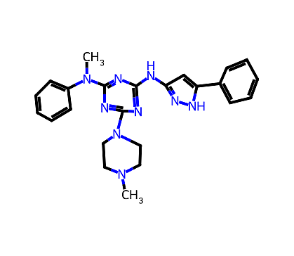 CN1CCN(c2nc(Nc3cc(-c4ccccc4)[nH]n3)nc(N(C)c3ccccc3)n2)CC1